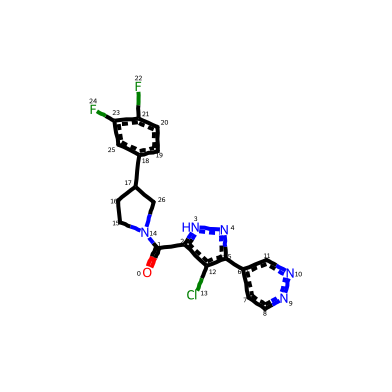 O=C(c1[nH]nc(-c2ccnnc2)c1Cl)N1CCC(c2ccc(F)c(F)c2)C1